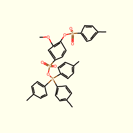 COc1cc(S(=O)(=O)OS(c2ccc(C)cc2)(c2ccc(C)cc2)c2ccc(C)cc2)ccc1OS(=O)(=O)c1ccc(C)cc1